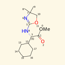 COC(=O)[C@@H](NC1=NC(C)(C)CO1)C1CCCCC1